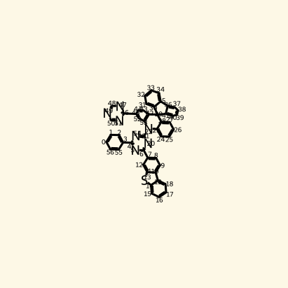 c1ccc(-c2nc(-c3ccc4c(c3)sc3ccccc34)nc(N3c4ccccc4C4(c5ccccc5-c5ccccc54)c4ccc(-c5ncncn5)cc43)n2)cc1